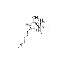 CC(=O)O.CN.N.NCCCCN